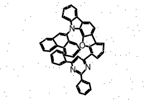 c1ccc(-c2cc(-c3cccc4c3oc3c4ccc4c5ccccc5n(-c5cc6ccccc6c6ccccc56)c43)nc(-c3ccccc3)n2)cc1